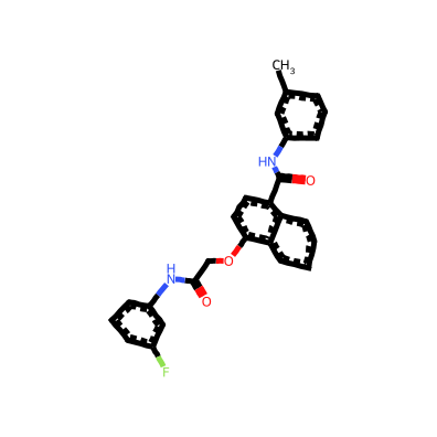 Cc1cccc(NC(=O)c2ccc(OCC(=O)Nc3cccc(F)c3)c3ccccc23)c1